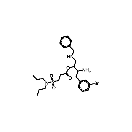 CCCN(CCC)S(=O)(=O)CCC(=O)OC(CNCc1ccccc1)C(N)Cc1cccc(Br)c1